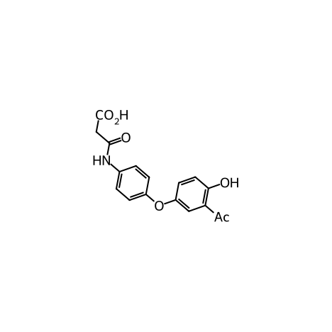 CC(=O)c1cc(Oc2ccc(NC(=O)CC(=O)O)cc2)ccc1O